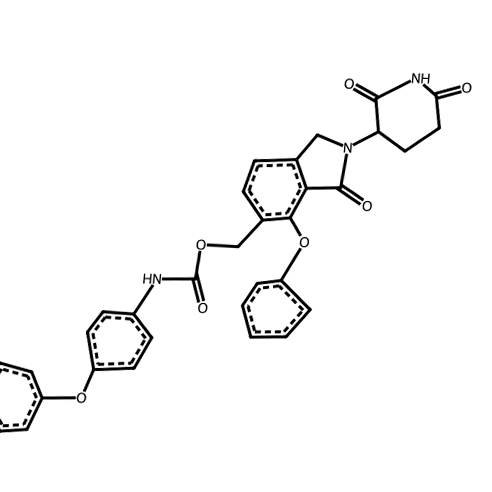 O=C1CCC(N2Cc3ccc(COC(=O)Nc4ccc(Oc5ccccc5)cc4)c(Oc4ccccc4)c3C2=O)C(=O)N1